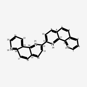 c1cnc2c(c1)ccc1ccc(-c3ccc4ccc5ncccc5c4n3)nc12